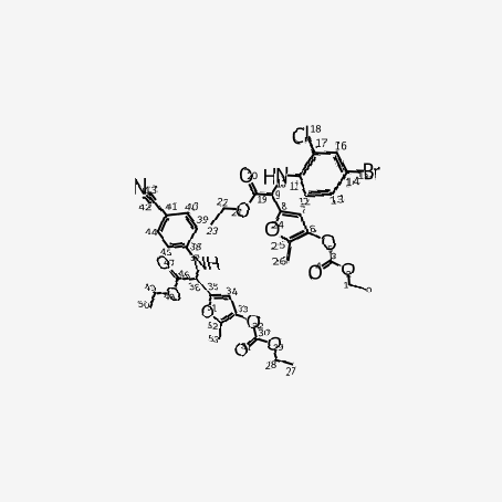 CCOC(=O)Oc1cc(C(Nc2ccc(Br)cc2Cl)C(=O)OCC)oc1C.CCOC(=O)Oc1cc(C(Nc2ccc(C#N)cc2)C(=O)OCC)oc1C